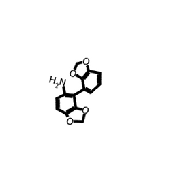 Nc1ccc2c(c1-c1cccc3c1OCO3)OCO2